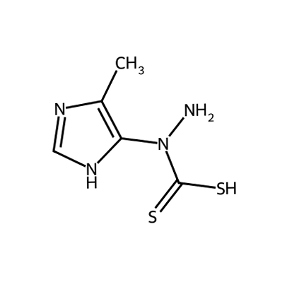 Cc1nc[nH]c1N(N)C(=S)S